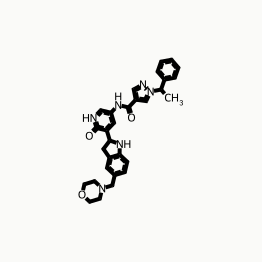 CC(c1ccccc1)n1cc(C(=O)Nc2c[nH]c(=O)c(C3Cc4cc(CN5CCOCC5)ccc4N3)c2)cn1